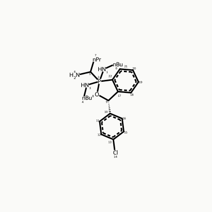 CCCCNP1(NCCCC)(C(N)CCC)O[C@@H](c2ccc(Cl)cc2)c2ccccc21